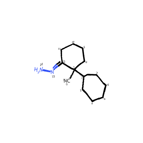 N#CC1(C2CCCCC2)CCCCC1=NN